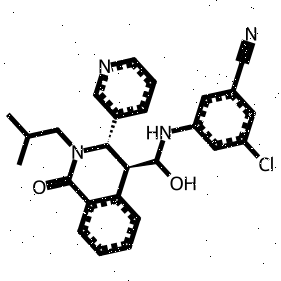 CC(C)CN1C(=O)c2ccccc2[C@H](C(O)Nc2cc(Cl)cc(C#N)c2)[C@H]1c1cccnc1